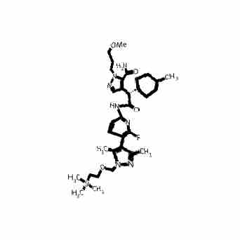 COCCCn1ncc([C@@H](C(=O)Nc2ccc(-c3c(C)nn(COCC[Si](C)(C)C)c3C)c(F)n2)C2CCC(C)CC2)c1C(N)=O